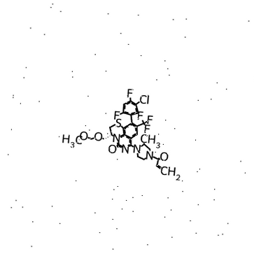 C=CC(=O)N1CCN(c2nc(=O)n3c4c(c(-c5cc(Cl)c(F)cc5F)c(C(F)(F)F)cc24)SC[C@H]3COCOC)[C@@H](C)C1